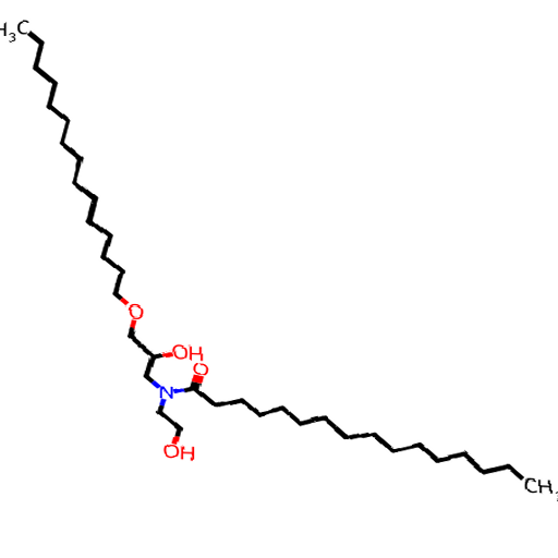 CCCCCCCCCCCCCCCOCC(O)CN(CCO)C(=O)CCCCCCCCCCCCCCC